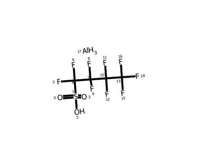 O=S(=O)(O)C(F)(F)C(F)(F)C(F)(F)C(F)(F)F.[AlH3]